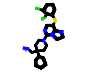 NCC1(c2ccccc2)CCN(c2ncc(Sc3cccc(Cl)c3Cl)c3nccn23)CC1